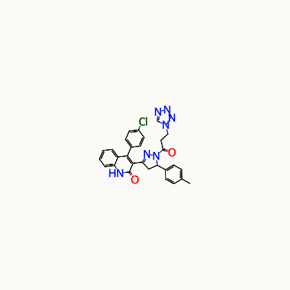 Cc1ccc(C2CC(c3c(-c4ccc(Cl)cc4)c4ccccc4[nH]c3=O)=NN2C(=O)CCn2cnnn2)cc1